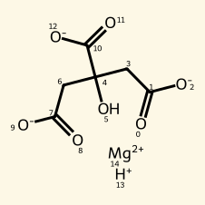 O=C([O-])CC(O)(CC(=O)[O-])C(=O)[O-].[H+].[Mg+2]